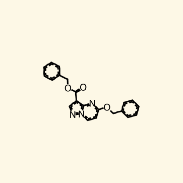 O=C(OCc1ccccc1)c1cnn2ccc(OCc3ccccc3)nc12